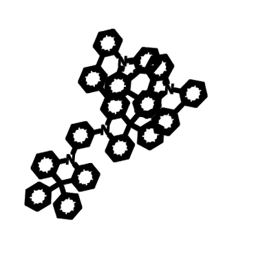 c1ccc(-c2ccccc2-n2c3ccccc3c3c(-c4cccc5c4c4ccccc4n5-c4ccccc4-c4cccc(-c5ccc6c(c5)N(c5cccc(N7c8ccccc8C(c8ccccc8)(c8ccccc8)c8ccccc87)c5)c5ccccc5C6(c5ccccc5)c5ccccc5)c4)cccc32)cc1